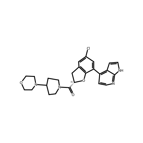 O=C([C@@H]1Cc2cc(Cl)cc(-c3ccnc4[nH]ccc34)c2O1)N1CCC(N2CCOCC2)CC1